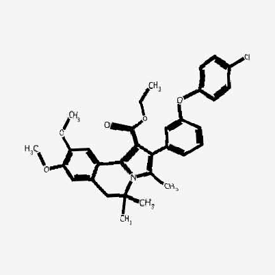 CCOC(=O)c1c(-c2cccc(Oc3ccc(Cl)cc3)c2)c(C)n2c1-c1cc(OC)c(OC)cc1CC2(C)C